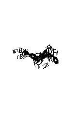 CCCCOP(=O)(COc1ccc(S(=O)(=O)N(CC(C)C)C[C@@H](O)[C@@H](N)Cc2ccccc2)cc1)OCCCC